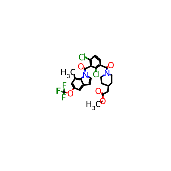 COC(=O)CC1CCN(C(=O)c2ccc(Cl)c(C(=O)n3ccc4cc(OC(F)(F)F)cc(C)c43)c2Cl)CC1